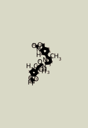 Cc1ccc(NC(=O)C(C)(C)c2ccc3c(c2)OC(F)(F)O3)nc1-c1ccc2c(c1)NC(=O)OC2